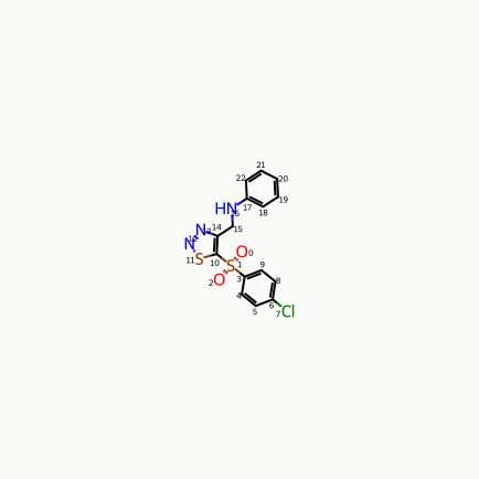 O=S(=O)(c1ccc(Cl)cc1)c1snnc1CNc1ccccc1